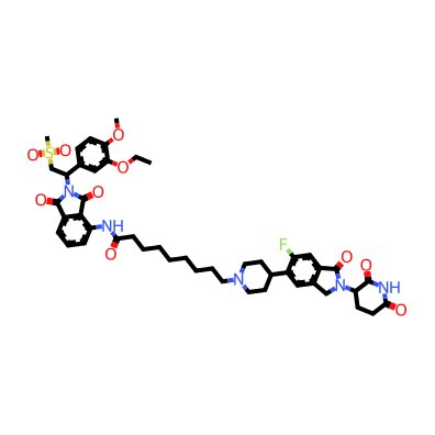 CCOc1cc(C(CS(C)(=O)=O)N2C(=O)c3cccc(NC(=O)CCCCCCCCN4CCC(c5cc6c(cc5F)C(=O)N(C5CCC(=O)NC5=O)C6)CC4)c3C2=O)ccc1OC